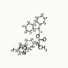 CN(C(=O)OCC1c2ccccc2-c2ccccc21)C(CCc1cncc(I)c1)C(=O)O